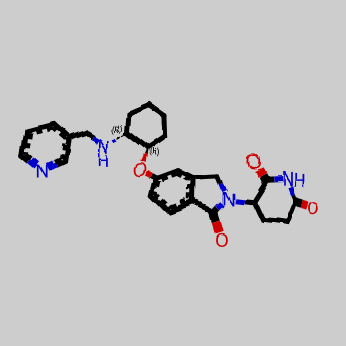 O=C1CCC(N2Cc3cc(O[C@@H]4CCCC[C@H]4NCc4cccnc4)ccc3C2=O)C(=O)N1